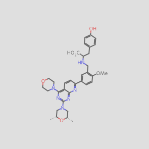 COc1ccc(-c2ccc3c(N4CCOCC4)nc(N4C[C@@H](C)O[C@@H](C)C4)nc3n2)cc1CNC(Cc1ccc(O)cc1)C(=O)O